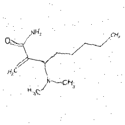 C=C(C(N)=O)C(CCCCC)N(C)C